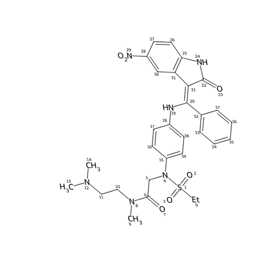 CCS(=O)(=O)N(CC(=O)N(C)CCN(C)C)c1ccc(NC(=C2C(=O)Nc3ccc([N+](=O)[O-])cc32)c2ccccc2)cc1